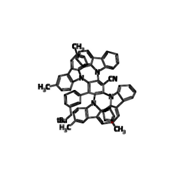 Cc1ccc2c(c1)c1cc(C)ccc1n2-c1c(-c2cccc(CC(C)(C)C)c2)c(-n2c3ccc(C)cc3c3cc(C)ccc32)c(-n2c3ccccc3c3ccccc32)c(C#N)c1-n1c2ccccc2c2ccccc21